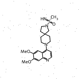 COc1cc2nccc(N3CCC4(CC3)CCN([S@@](C)(=N)=O)C4)c2cc1OC